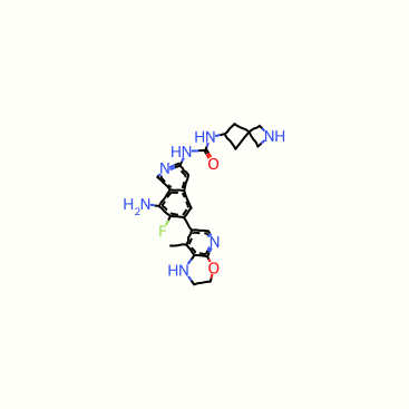 Cc1c(-c2cc3cc(NC(=O)NC4CC5(CNC5)C4)ncc3c(N)c2F)cnc2c1NCCO2